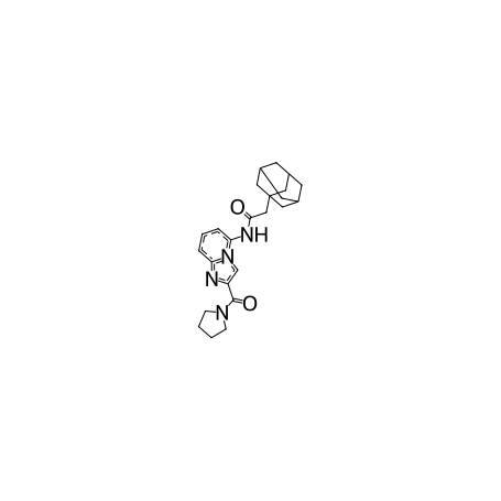 O=C(CC12CC3CC(CC(C3)C1)C2)Nc1cccc2nc(C(=O)N3CCCC3)cn12